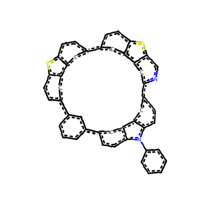 c1ccc(-n2c3ccc4cc3c3cc(ccc32)c2cc3c(cn2)sc2ccc(cc23)c2ccc3sc5ccc(cc5c3c2)c2cccc4c2)cc1